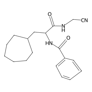 N#CCNC(=O)C(CC1CCCCCC1)NC(=O)c1ccccc1